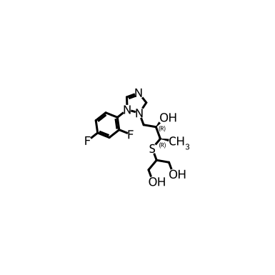 C[C@@H](SC(CO)CO)[C@H](O)CN1CN=CN1c1ccc(F)cc1F